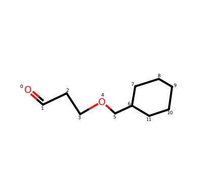 O=CCCOCC1CCCCC1